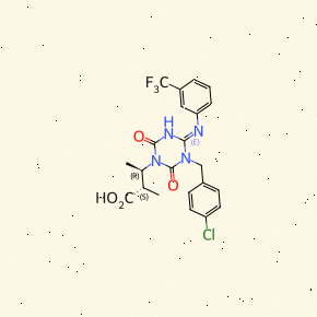 C[C@H](C(=O)O)[C@@H](C)n1c(=O)[nH]/c(=N\c2cccc(C(F)(F)F)c2)n(Cc2ccc(Cl)cc2)c1=O